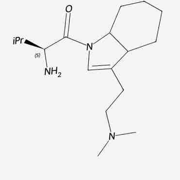 CC(C)[C@H](N)C(=O)N1C=C(CCN(C)C)C2CCCCC21